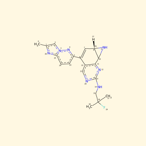 Cc1cn2nc(C3=C[C@@H]4NC4c4nc(NCC(C)(C)F)ncc43)ccc2n1